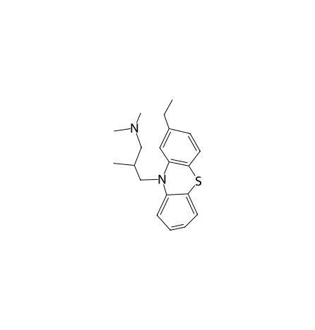 CCc1ccc2c(c1)N(CC(C)CN(C)C)c1ccccc1S2